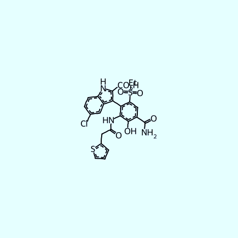 CCS(=O)(=O)c1cc(C(N)=O)c(O)c(NC(=O)Cc2cccs2)c1-c1c(C(=O)O)[nH]c2ccc(Cl)cc12